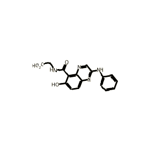 O=C(O)CNC(=O)c1c(O)ccc2nc(Nc3ccccc3)cnc12